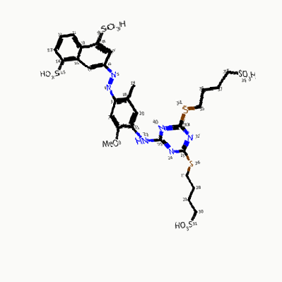 COc1cc(N=Nc2cc(S(=O)(=O)O)c3cccc(S(=O)(=O)O)c3c2)c(C)cc1Nc1nc(SCCCCS(=O)(=O)O)nc(SCCCCS(=O)(=O)O)n1